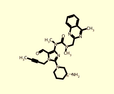 CC#CCn1c(N2CCC[C@@H](N)C2)nc(N(C)C(=O)N(C)Cc2nc(C)c3ccccc3n2)c1C=O